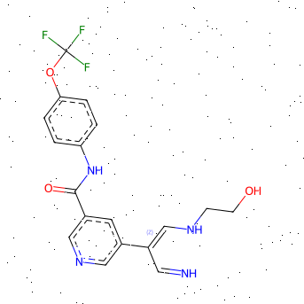 N=C/C(=C\NCCO)c1cncc(C(=O)Nc2ccc(OC(F)(F)F)cc2)c1